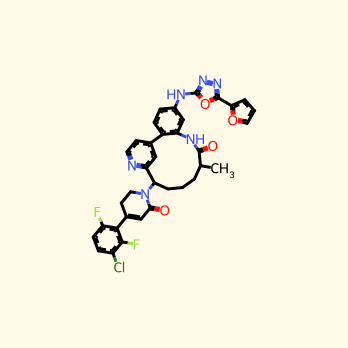 CC1CCCC(N2CCC(c3c(F)ccc(Cl)c3F)=CC2=O)c2cc(ccn2)-c2ccc(Nc3nnc(-c4ccco4)o3)cc2NC1=O